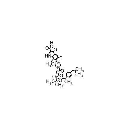 CCc1c(N2CCN(C(=O)OC(OC(=O)C(C)c3ccc(CC(C)C)cc3)C(=O)OC(C)C)CC2)c(F)cc2c(=O)c(C(=O)O)c[nH]c12